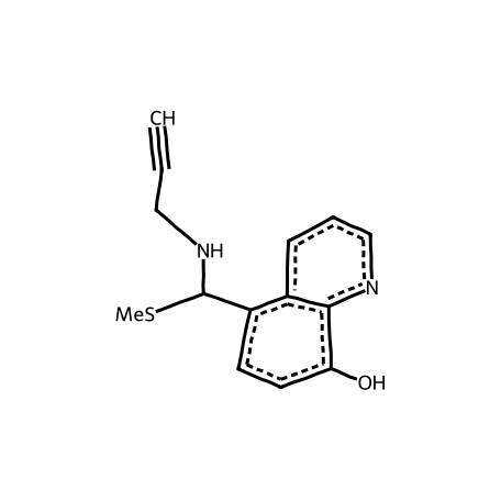 C#CCNC(SC)c1ccc(O)c2ncccc12